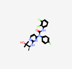 C[C@H](Nc1nccc(N(C(=O)Nc2cccc(F)c2F)c2ccc(F)cc2)n1)C(C)(C)O